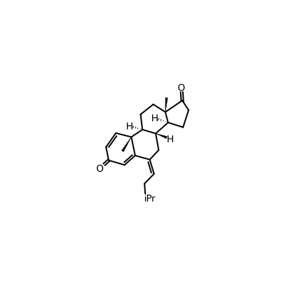 CC(C)C/C=C1/C[C@@H]2[C@H](CC[C@]3(C)C(=O)CC[C@@H]23)[C@@]2(C)C=CC(=O)C=C12